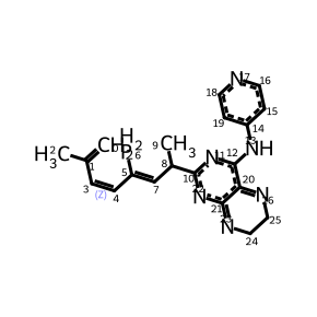 C=C(C)/C=C\C(P)=CC(C)c1nc(Nc2ccncc2)c2c(n1)=NCCN=2